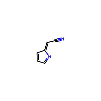 N#CC=C1C=CC=N1